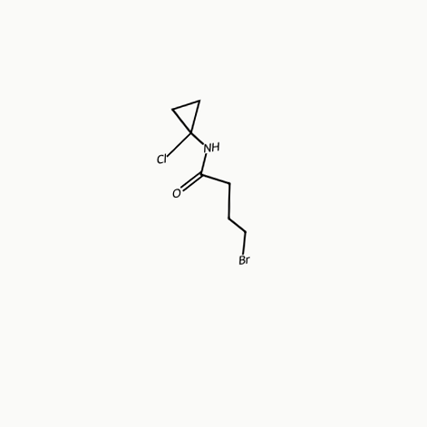 O=C(CCCBr)NC1(Cl)CC1